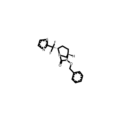 O=C1N2C[C@H](CC[C@H]2C(F)(F)c2nccs2)N1OCc1ccccc1